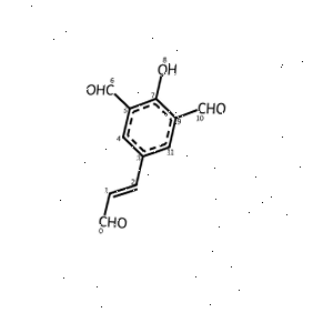 O=C/C=C/c1cc(C=O)c(O)c(C=O)c1